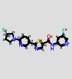 O=C(Nc1cncc(F)c1)c1cnc(-c2ccc(N3CC[C@@H](F)C3)nc2)s1